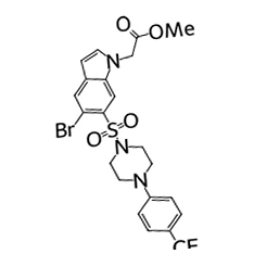 COC(=O)Cn1ccc2cc(Br)c(S(=O)(=O)N3CCN(c4ccc(C(F)(F)F)cc4)CC3)cc21